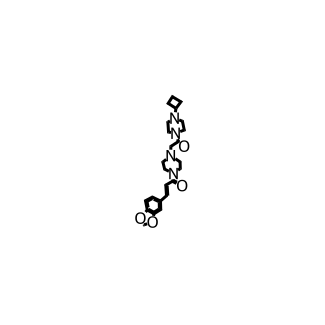 O=C(/C=C/c1ccc2c(c1)OCO2)N1CCN(CC(=O)N2CCN(C3CCC3)CC2)CC1